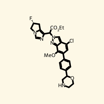 CCOC(=O)C(c1ncn2c1C[C@@H](F)C2)n1cc2c(Cl)cc(-c3ccc(C4CNCCO4)cc3)c(OC)c2n1